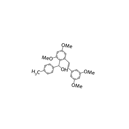 COc1cc(/C=C/c2cc(OC)cc(OC)c2C(O)c2ccc(C)cc2)cc(OC)c1